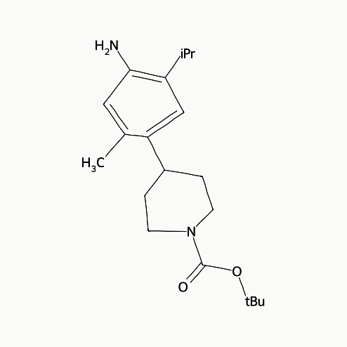 Cc1cc(N)c(C(C)C)cc1C1CCN(C(=O)OC(C)(C)C)CC1